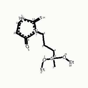 CCO[Si](C)(CCCn1c(=O)cc[nH]c1=S)OCC